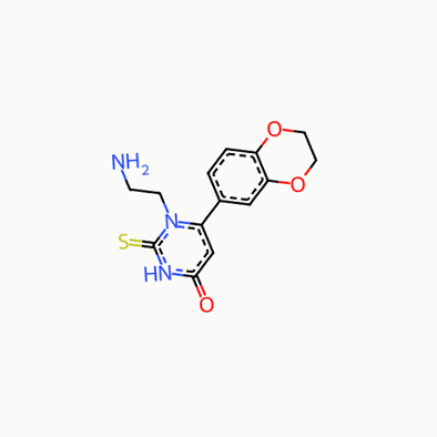 NCCn1c(-c2ccc3c(c2)OCCO3)cc(=O)[nH]c1=S